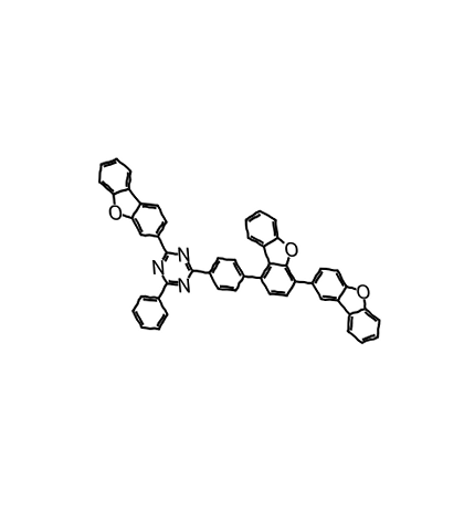 c1ccc(-c2nc(-c3ccc(-c4ccc(-c5ccc6oc7ccccc7c6c5)c5oc6ccccc6c45)cc3)nc(-c3ccc4c(c3)oc3ccccc34)n2)cc1